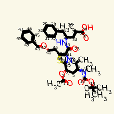 CC(=O)OC(CC(C(C)C)N(C)C(=O)OC(C)(C)C)c1nc(C(=O)NC(Cc2ccccc2)CC(C)C(=O)O)c(CCOCc2ccccc2)s1